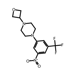 O=[N+]([O-])c1cc(N2CCN(C3COC3)CC2)cc(C(F)(F)F)c1